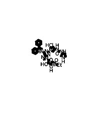 CCNC(=O)[C@H]1O[C@@H](n2cnc3c(NCC(c4ccccc4)c4ccccc4)nc(N4CC[C@@H](NC(=O)N[C@@H]5CCNC5)C4)nc32)[C@H](O)[C@@H]1O.Cl